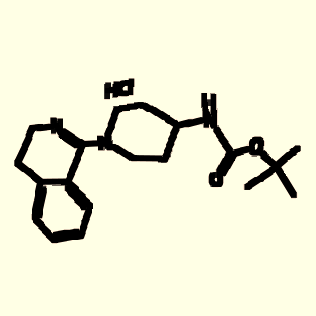 CC(C)(C)OC(=O)NC1CCN(C2=NCCc3ccccc32)CC1.Cl